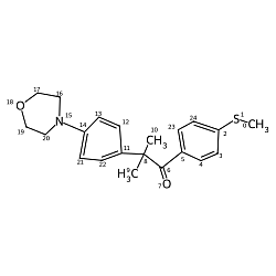 CSc1ccc(C(=O)C(C)(C)c2ccc(N3CCOCC3)cc2)cc1